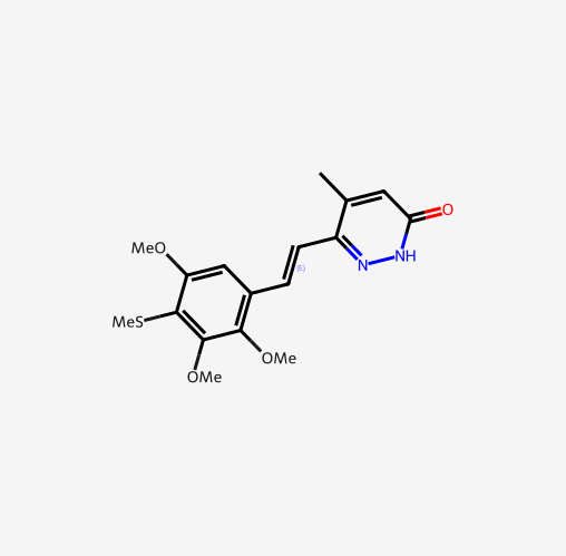 COc1cc(/C=C/c2n[nH]c(=O)cc2C)c(OC)c(OC)c1SC